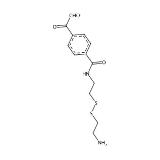 NCCSSCCNC(=O)c1ccc(C(=O)C=O)cc1